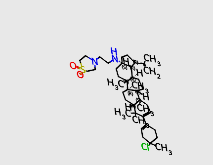 C=C(C)[C@@H]1CC[C@]2(NCCN3CCS(=O)(=O)CC3)CC[C@]3(C)[C@H](CC[C@@H]4[C@@]5(C)CC=C(C6=CCC(C)(Cl)CC6)C(C)(C)[C@@H]5CC[C@]43C)[C@@H]12